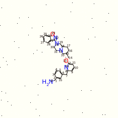 NCc1cccc(Cc2cccc(OCC3CCC4CN(c5noc6ccccc56)CCN4C3)n2)c1